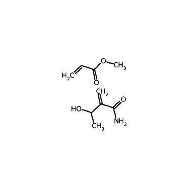 C=C(C(N)=O)C(C)O.C=CC(=O)OC